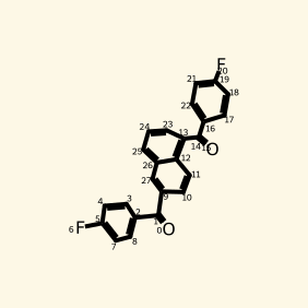 O=C(c1ccc(F)cc1)c1ccc2c(C(=O)c3ccc(F)cc3)cccc2c1